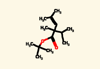 CC(C)=CC(C)(C(=O)OC(C)(C)C)C(C)C